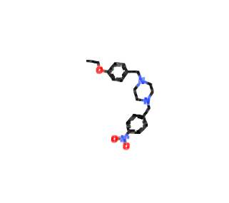 CCOc1ccc(CN2CCN(Cc3ccc([N+](=O)[O-])cc3)CC2)cc1